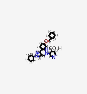 O=C(O)c1ccncc1NCc1cn(-c2ccccc2)nc1-c1ccc(OCc2ccccc2)cc1